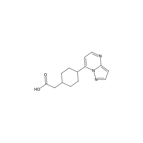 O=C(O)CC1CCC(c2ccnc3ccnn23)CC1